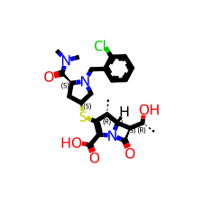 C[C@@H](O)[C@H]1C(=O)N2C(C(=O)O)=C(S[C@H]3C[C@@H](C(=O)N(C)C)N(Cc4ccccc4Cl)C3)[C@H](C)[C@H]12